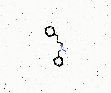 CN(CCCc1ccccc1)Cc1ccccc1